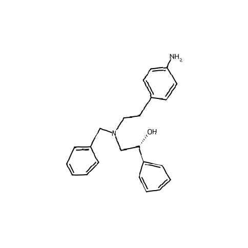 Nc1ccc(CCN(Cc2ccccc2)C[C@H](O)c2ccccc2)cc1